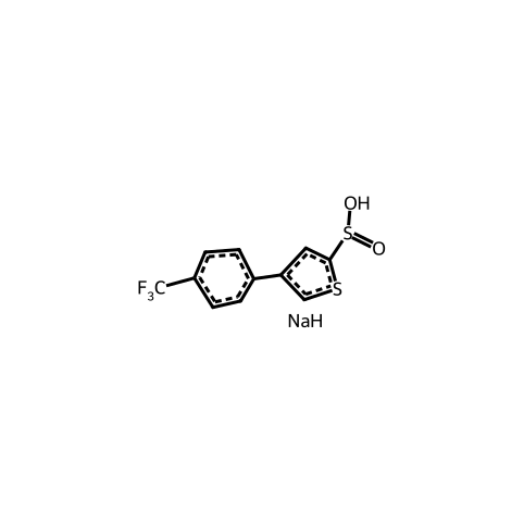 O=S(O)c1cc(-c2ccc(C(F)(F)F)cc2)cs1.[NaH]